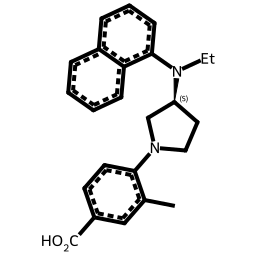 CCN(c1cccc2ccccc12)[C@H]1CCN(c2ccc(C(=O)O)cc2C)C1